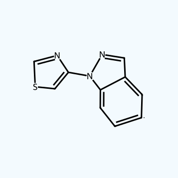 [c]1ccc2c(c1)cnn2-c1cscn1